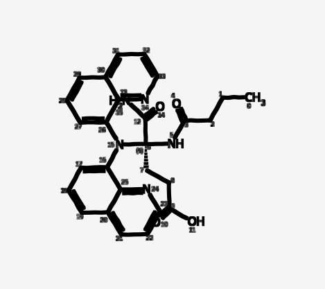 CCCC(=O)N[C@](CCC(=O)O)(C(N)=O)N(c1cccc2cccnc12)c1cccc2cccnc12